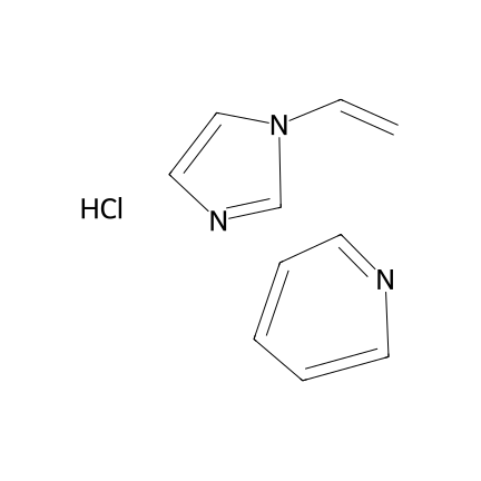 C=Cn1ccnc1.Cl.c1ccncc1